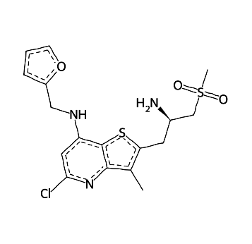 Cc1c(C[C@@H](N)CS(C)(=O)=O)sc2c(NCc3ccco3)cc(Cl)nc12